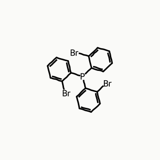 Brc1ccccc1P(c1ccccc1Br)c1ccccc1Br